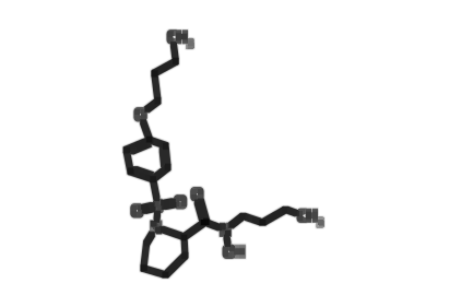 CCCCOc1ccc(S(=O)(=O)N2CCCCC2C(=O)N(O)CCCC)cc1